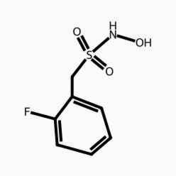 O=S(=O)(Cc1ccccc1F)NO